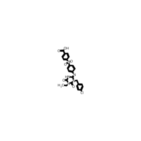 CCn1c(=O)[nH]/c(=N\c2ccc(S(=O)(=O)c3ccc(C(=O)O)cc3)cc2)n(Cc2ccc(Cl)cc2)c1=O